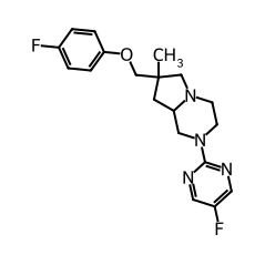 CC1(COc2ccc(F)cc2)CC2CN(c3ncc(F)cn3)CCN2C1